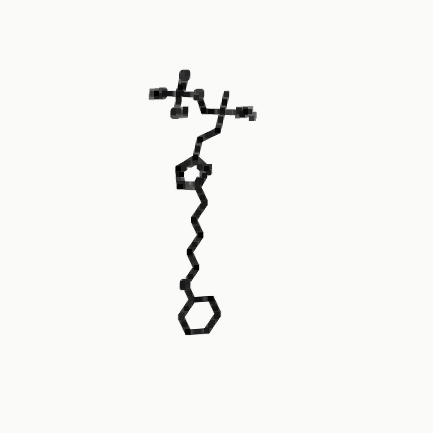 CC(N)(CCc1ccc(CCCCCOC2CCCCC2)s1)COP(=O)(O)O